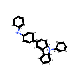 c1ccc(Nc2ccc(-c3ccc4c(c3)c3ccccc3n4-c3ccccc3)cc2)cc1